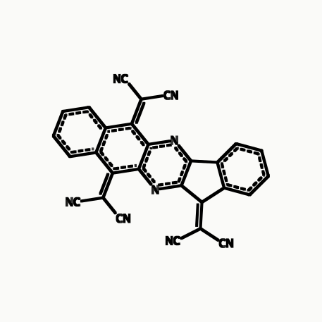 N#CC(C#N)=C1c2ccccc2-c2nc3c(=C(C#N)C#N)c4ccccc4c(=C(C#N)C#N)c3nc21